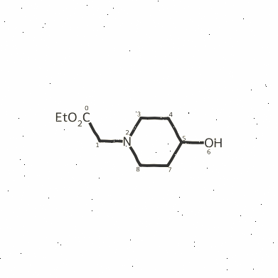 CCOC(=O)CN1CCC(O)CC1